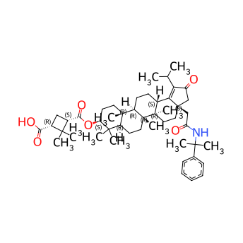 CC(C)C1=C2[C@H]3CC[C@@H]4[C@@]5(C)CC[C@H](OC(=O)[C@H]6C[C@@H](C(=O)O)C6(C)C)C(C)(C)[C@@H]5CC[C@@]4(C)[C@]3(C)CC[C@@]2(CC(=O)NC(C)(C)c2ccccc2)CC1=O